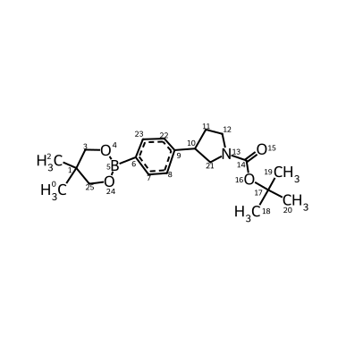 CC1(C)COB(c2ccc(C3CCN(C(=O)OC(C)(C)C)C3)cc2)OC1